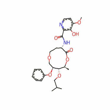 COc1ccnc(C(=O)N[C@H]2CCOC[C@H](Oc3ccccc3)[C@@H](OCC(C)C)[C@H](C)OC2=O)c1O